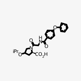 CC(C)OC1C[C@H](C(=O)O)N(C(=O)CNC(=O)c2ccc(Oc3ccccc3)cc2)C1